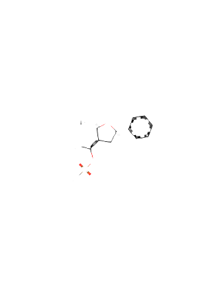 CC(OS(=O)(=O)C(F)(F)F)=C1C[C@@H](c2ccccc2)O[C@H]1C(C)C